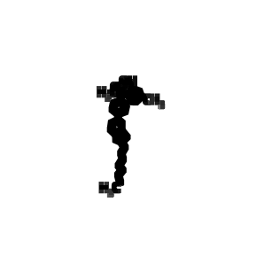 [CH2]C(c1ccc(C)cc1)(c1ccc(-c2ccc3c(c2)CC(CCCCCCCC)C3)cc1)S(=O)(=O)O